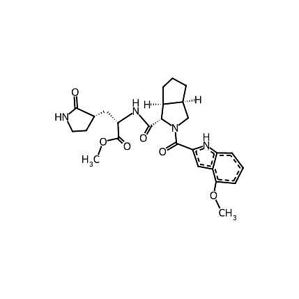 COC(=O)[C@H](C[C@@H]1CCNC1=O)NC(=O)[C@@H]1[C@H]2CCC[C@H]2CN1C(=O)c1cc2c(OC)cccc2[nH]1